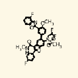 CNC(=O)c1c(-c2ccc(F)cc2)oc2cc(N(CC(F)F)S(C)(=O)=O)c(-c3ccc(OC)c(-c4nc5c(F)cccc5o4)c3)cc12